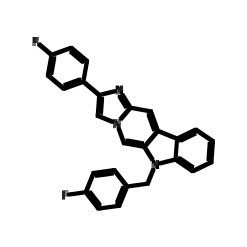 Fc1ccc(Cn2c3ccccc3c3cc4nc(-c5ccc(F)cc5)cn4cc32)cc1